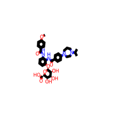 COc1ccc(C(=O)Nc2cccc(O[C@@H]3O[C@H](C(=O)O)[C@@H](O)[C@H](O)[C@H]3O)c2NC(=O)c2ccc(N3CCCN(C(C)C)CC3)cc2)cc1